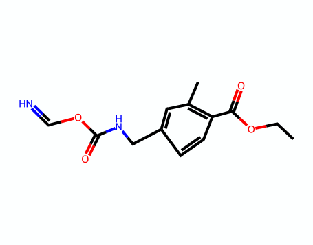 CCOC(=O)c1ccc(CNC(=O)OC=N)cc1C